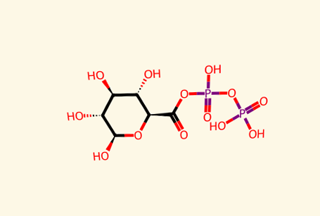 O=C(OP(=O)(O)OP(=O)(O)O)[C@H]1O[C@@H](O)[C@H](O)[C@@H](O)[C@@H]1O